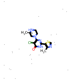 Cc1ncsc1-c1nc(N2CCN[C@H](C)C2)c(Cl)c(=O)[nH]1